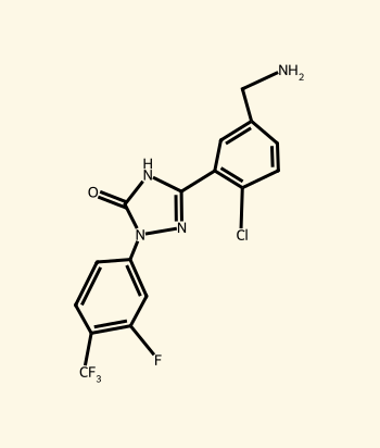 NCc1ccc(Cl)c(-c2nn(-c3ccc(C(F)(F)F)c(F)c3)c(=O)[nH]2)c1